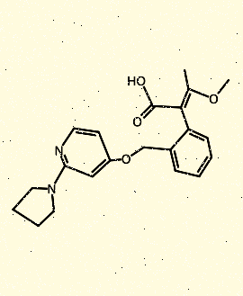 COC(C)=C(C(=O)O)c1ccccc1COc1ccnc(N2CCCC2)c1